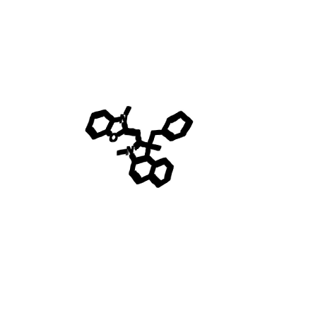 CN1C(=CC2=[N+](C)c3ccc4ccccc4c3C2(C)Cc2ccccc2)OC2C=CC=CC21